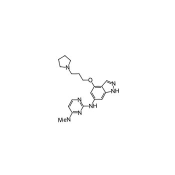 CNc1ccnc(Nc2cc(OCCCN3CCCC3)c3cn[nH]c3c2)n1